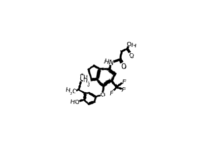 CC(C)c1cc(Oc2c(C(F)(F)F)cc(NC(=O)CC(=O)O)c3c2CCC3)ccc1O